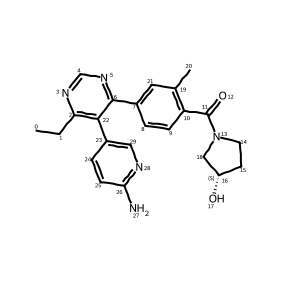 CCc1ncnc(-c2ccc(C(=O)N3CC[C@H](O)C3)c(C)c2)c1-c1ccc(N)nc1